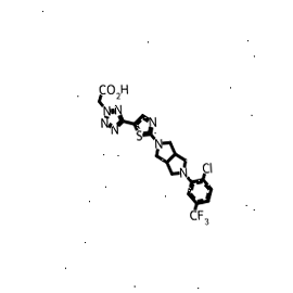 O=C(O)Cn1nnc(-c2cnc(N3CC4CN(c5cc(C(F)(F)F)ccc5Cl)CC4C3)s2)n1